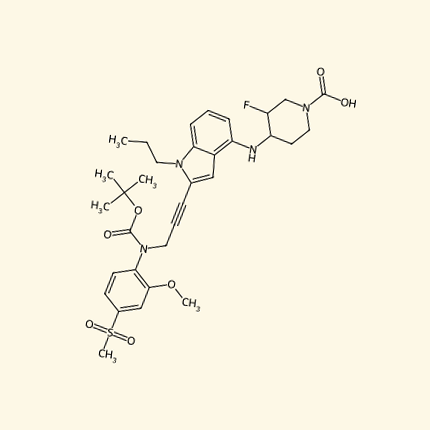 CCCn1c(C#CCN(C(=O)OC(C)(C)C)c2ccc(S(C)(=O)=O)cc2OC)cc2c(NC3CCN(C(=O)O)CC3F)cccc21